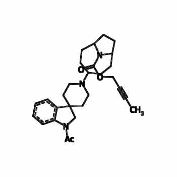 CC#CCOC(=O)N1C2CCC(N3CCC4(CC3)CN(C(C)=O)c3ccccc34)CCC1CC2